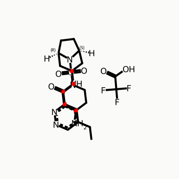 CCc1cnnc(C(=O)NC2C[C@H]3CC[C@@H](C2)N3S(=O)(=O)N2CCC(N)CC2)c1.O=C(O)C(F)(F)F